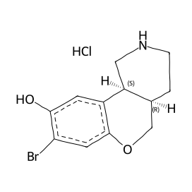 Cl.Oc1cc2c(cc1Br)OC[C@@H]1CCNC[C@H]21